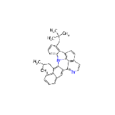 CC(C)Cc1c2ccccc2cc2c3nccc4ccc5c6c(CC(C)(C)C)cccc6n(c12)c5c43